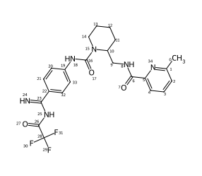 Cc1cccc(C(=O)NCC2CCCCN2C(=O)Nc2ccc(C(=N)NC(=O)C(F)(F)F)cc2)n1